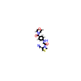 N#C[C@@H]1CSCN1C(=O)CN[C@H]1CC[C@H](C(=O)N2CCOCC2)CC1